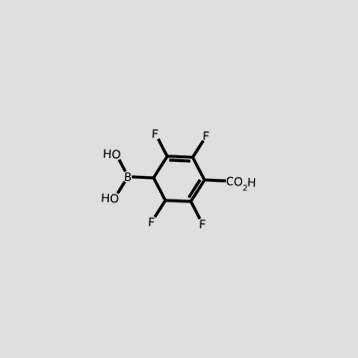 O=C(O)C1=C(F)C(F)C(B(O)O)C(F)=C1F